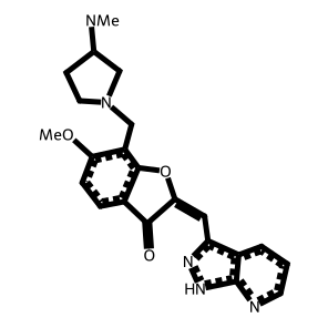 CNC1CCN(Cc2c(OC)ccc3c2OC(=Cc2n[nH]c4ncccc24)C3=O)C1